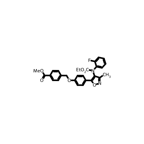 CCOC(=O)N(c1ccccc1F)c1c(C)noc1-c1ccc(OCc2ccc(C(=O)OC)cc2)cc1